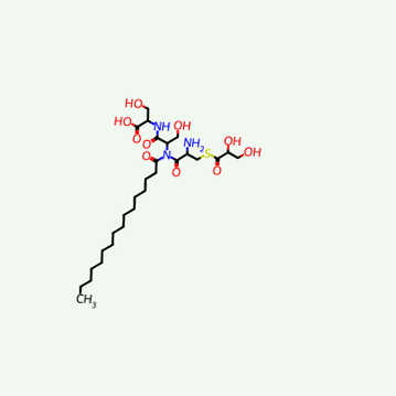 CCCCCCCCCCCCCCCC(=O)N(C(=O)C(N)CSC(=O)C(O)CO)C(CO)C(=O)NC(CO)C(=O)O